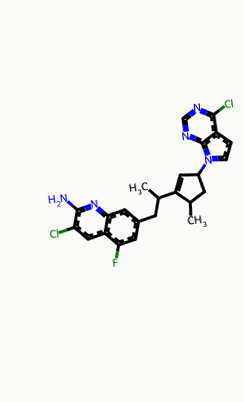 CC(Cc1cc(F)c2cc(Cl)c(N)nc2c1)C1=CC(n2ccc3c(Cl)ncnc32)CC1C